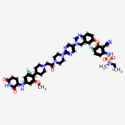 CCN(C)S(=O)(=O)Nc1ccc(F)c(Oc2ccc3c(c2)CN(c2cnc(N4CCN(C(=O)CN5CCC(c6c(F)cc(NC7CCC(=O)NC7=O)cc6OC)CC5)CC4)nc2)C=N3)c1C#N